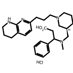 CN(C[C@@H]1CCCN(CCCc2ccc3c(n2)NCCC3)C1)C(CC(=O)O)c1ccccc1.Cl